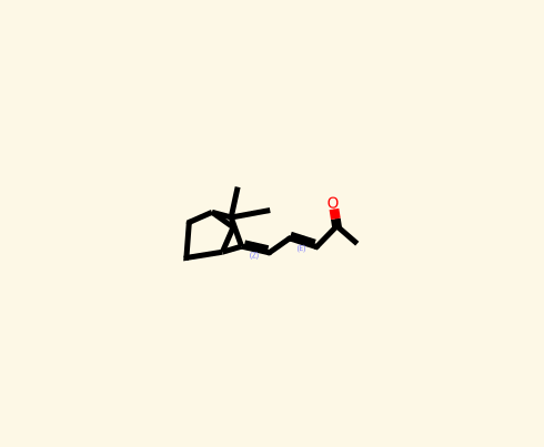 CC(=O)/C=C/C=C1/C2CCC(C2)C1(C)C